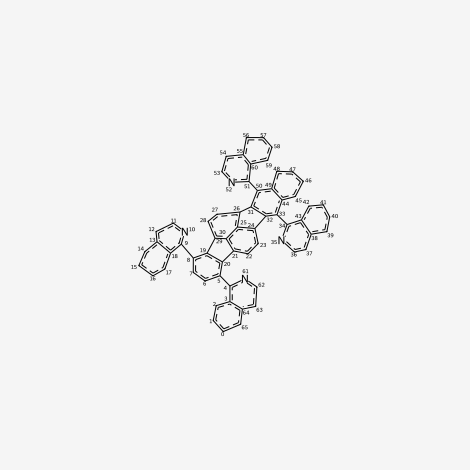 c1ccc2c(-c3ccc(-c4nccc5ccccc45)c4c3-c3ccc5c6c(ccc-4c36)-c3c-5c(-c4nccc5ccccc45)c4ccccc4c3-c3nccc4ccccc34)nccc2c1